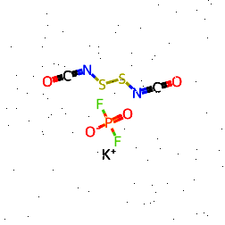 O=C=NSSN=C=O.O=P([O-])(F)F.[K+]